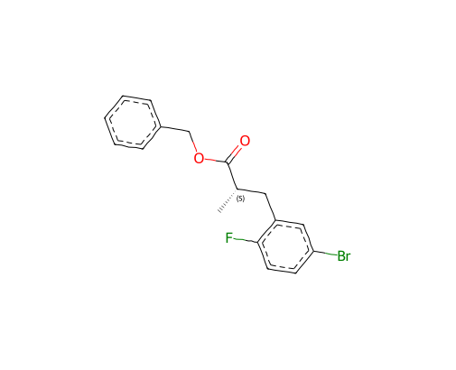 C[C@@H](Cc1cc(Br)ccc1F)C(=O)OCc1ccccc1